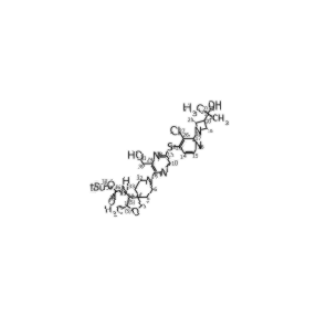 C[C@@H]1OCC2(CCN(c3ncc(Sc4ccnc(N5CC(C(C)(C)O)C5)c4Cl)nc3CO)CC2)[C@@H]1NC(=O)OC(C)(C)C